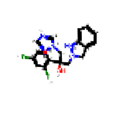 OC(CN1Cc2ccccc2N1)(Cn1cncn1)c1ccc(F)cc1F